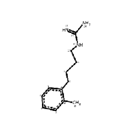 Cc1ccccc1[CH]CCCNC(=N)N